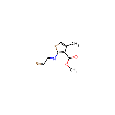 COC(=O)c1c(C)csc1N=CC=S